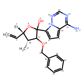 C=C[C@]1(CC)OC(O)(c2ccc3c(N)ncnn23)C(OCc2ccccc2)[C@@H]1C